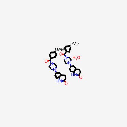 COc1ccc(C(=O)N2CCN(c3ccc4c(c3)CCC(=O)N4)CC2)cc1.COc1ccc(C(=O)N2CCN(c3ccc4c(c3)CCC(=O)N4)CC2)cc1.O